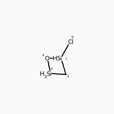 Cl[SiH]1C[SiH2]O1